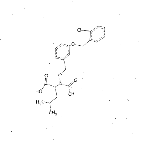 CC(C)CC(C(=O)O)N(CCc1cccc(OCc2ccccc2Cl)c1)C(=O)O